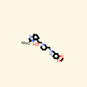 COc1cnc2cccc(C(O)CN3CCCC(CNCc4ccc5c(c4)OCCO5)C3)c2n1